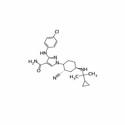 CC(C)(N[C@@H]1CCC(n2cc(C(N)=O)c(Nc3ccc(Cl)cc3)n2)[C@@H](C#N)C1)C1CC1